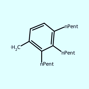 [CH2]c1ccc(CCCCC)c(CCCCC)c1CCCCC